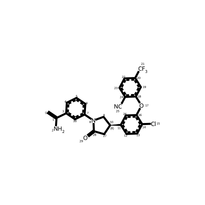 C=C(N)c1cccc(N2C[C@@H](c3ccc(Cl)c(Oc4cc(C(F)(F)F)ccc4C#N)c3)CC2=O)c1